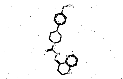 CCc1ccc(N2CCN(C(=S)N/N=C3/CCNc4cccnc43)CC2)cc1